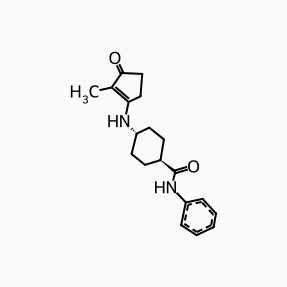 CC1=C(N[C@H]2CC[C@H](C(=O)Nc3ccccc3)CC2)CCC1=O